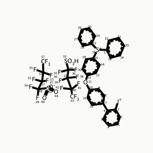 Ic1ccccc1-c1ccc(Oc2ccc([S+](c3ccccc3)c3ccccc3)cc2)cc1.O=S(=O)(O)C(F)(F)C(F)(F)C(F)(F)C(F)(F)F.O=S(=O)([O-])C(F)(F)C(F)(F)C(F)(F)C(F)(F)F